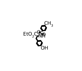 CCOC(=O)C(Cc1ccc(O)cc1)NS(=O)(=O)c1ccc(C)cc1